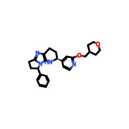 c1ccc(C2CCc3nc4c(n32)N[C@@H](c2ccnc(OCC3CCOCC3)c2)CC4)cc1